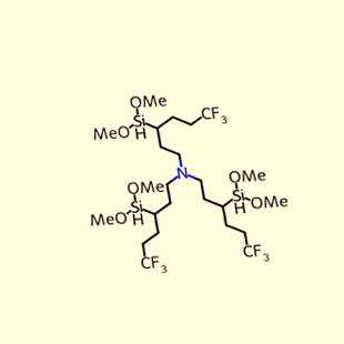 CO[SiH](OC)C(CCN(CCC(CCC(F)(F)F)[SiH](OC)OC)CCC(CCC(F)(F)F)[SiH](OC)OC)CCC(F)(F)F